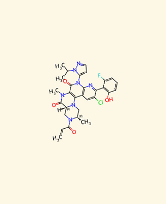 C=CC(=O)N1C[C@@H]2C(=O)N(C)c3c(c4cc(Cl)c(-c5c(O)cccc5F)nc4n(-c4ccnn4C(C)C)c3=O)N2C[C@H]1C